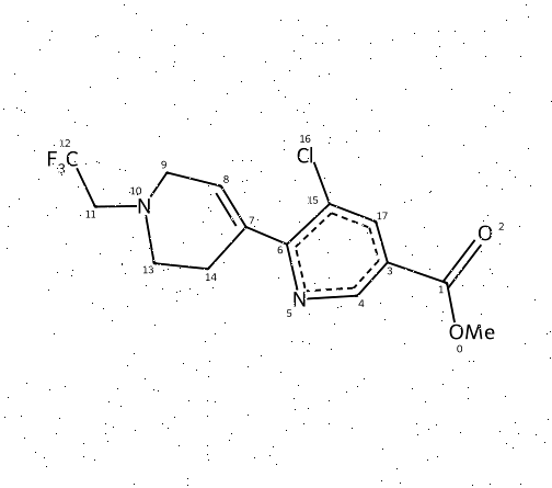 COC(=O)c1cnc(C2=CCN(CC(F)(F)F)CC2)c(Cl)c1